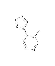 Cc1cnccc1-n1ccnc1